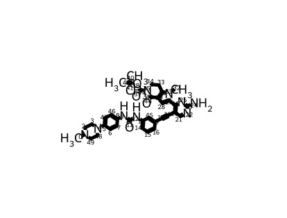 CN1CCN(c2ccc(NC(=O)Nc3cccc(C#Cc4cnc(N)nc4-c4cc5c(n4C)CCN(C(=O)OC(C)(C)C)C5=O)c3)cc2)CC1